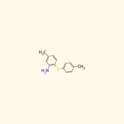 Cc1ccc(Sc2ccc(C)cc2N)cc1